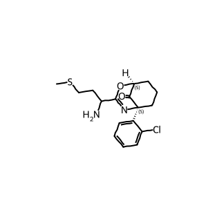 CSCCC(N)C1=N[C@]2(c3ccccc3Cl)CCC[C@H](O1)C2=O